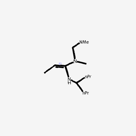 C/C=C(\NC(CCC)CCC)N(C)CNC